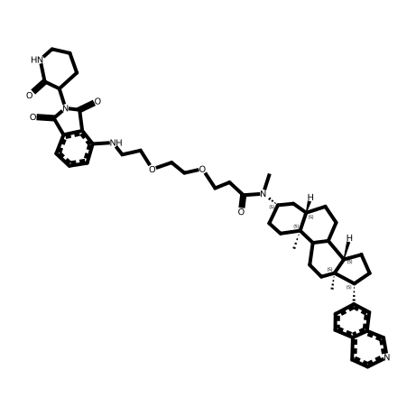 CN(C(=O)CCOCCOCCNc1cccc2c1C(=O)N(C1CCCNC1=O)C2=O)[C@H]1CC[C@]2(C)C3CC[C@]4(C)[C@@H](c5ccc6ccncc6c5)CC[C@H]4C3CC[C@H]2C1